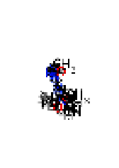 [2H]c1c([2H])c([2H])c(N(C(=O)CC([2H])([2H])[2H])C2(OC)CCN(CCn3nnn(CC)c3=O)CC2)c([2H])c1[2H]